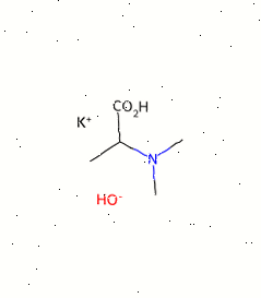 CC(C(=O)O)N(C)C.[K+].[OH-]